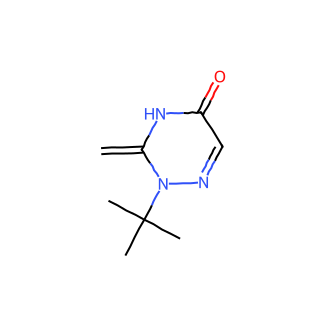 C=C1NC(=O)C=NN1C(C)(C)C